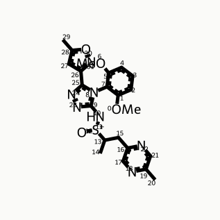 COc1cccc(OC)c1-n1c(N[S+]([O-])C(C)Cc2cnc(C)cn2)nnc1-c1cc(C)on1